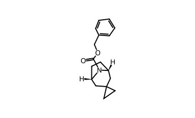 O=C(OCc1ccccc1)N1[C@@H]2CC[C@H]1CC1(CC1)C2